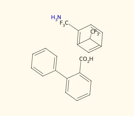 FC(F)(F)c1ccc2cc1C2C(F)(F)F.N.O=C(O)c1ccccc1-c1ccccc1